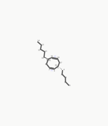 CCCCC[C@@H]1/C=C\C[C@@H](CCCCC)/C=C\C1